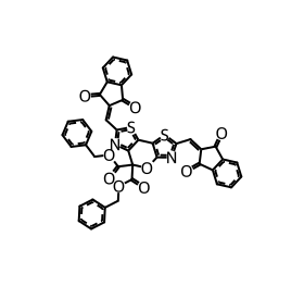 O=C1C(=Cc2nc3c(s2)-c2sc(C=C4C(=O)c5ccccc5C4=O)nc2C(C(=O)OCc2ccccc2)(C(=O)OCc2ccccc2)O3)C(=O)c2ccccc21